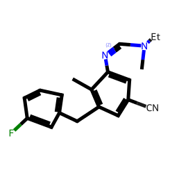 CCN(C)/C=N\c1cc(C#N)cc(Cc2cccc(F)c2)c1C